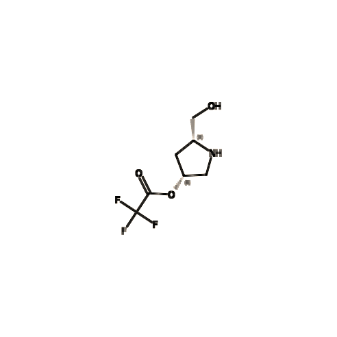 O=C(O[C@H]1CN[C@@H](CO)C1)C(F)(F)F